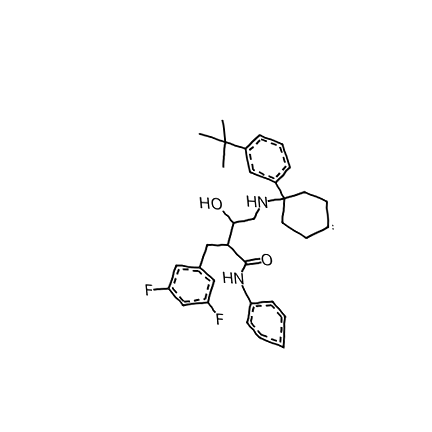 CC(C)(C)c1cccc(C2(NCC(O)C(Cc3cc(F)cc(F)c3)C(=O)Nc3ccccc3)CC[C]CC2)c1